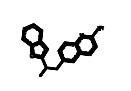 CC(C)c1ccc2cc(CC(C)c3cc4ccccc4o3)ccc2n1